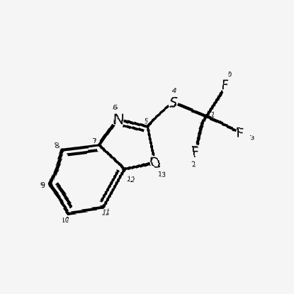 FC(F)(F)Sc1nc2ccccc2o1